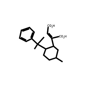 CC1CCC(C(C)(C)c2ccccc2)C(C(=CC(=O)O)C(=O)O)C1